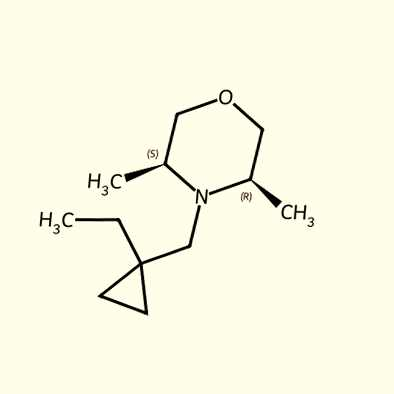 CCC1(CN2[C@H](C)COC[C@@H]2C)CC1